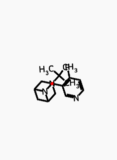 CC(C)(C)N1CC2CC(C1)N2Cc1cnccc1F